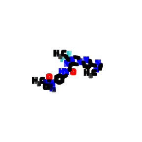 CN(C)C(=O)Nc1ccc(CNC(=O)c2nc(C(C)(F)F)n3c2CN(c2ccc(-c4nccn4C)cn2)CC3)cc1